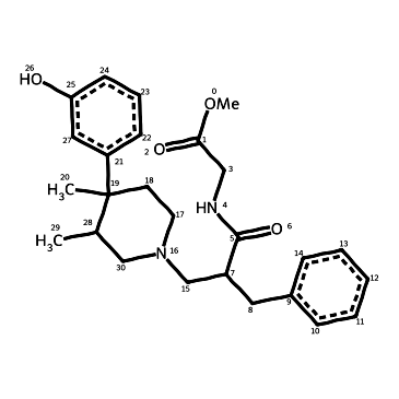 COC(=O)CNC(=O)C(Cc1ccccc1)CN1CCC(C)(c2cccc(O)c2)C(C)C1